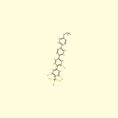 CCc1ccc(-c2ccc(-c3ccc(-c4cc(F)c(C(F)(F)F)c(F)c4)c(F)c3)cc2)cc1